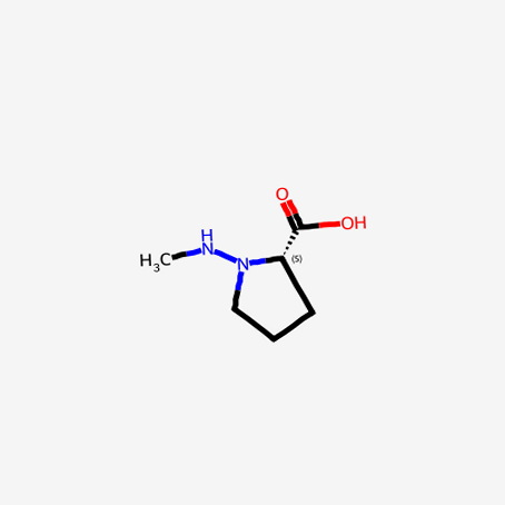 CNN1CCC[C@H]1C(=O)O